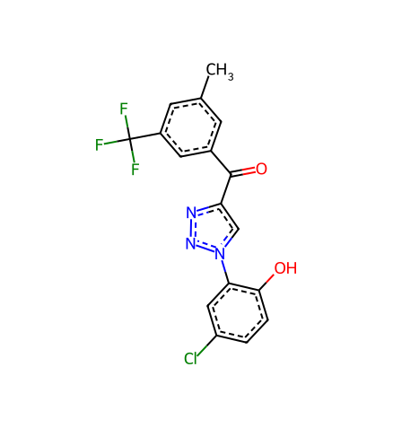 Cc1cc(C(=O)c2cn(-c3cc(Cl)ccc3O)nn2)cc(C(F)(F)F)c1